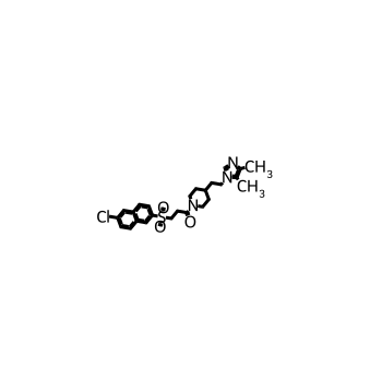 Cc1ncn(CCC2CCN(C(=O)CCS(=O)(=O)c3ccc4cc(Cl)ccc4c3)CC2)c1C